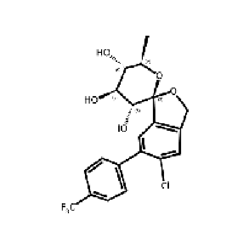 C[C@H]1O[C@]2(OCc3cc(Cl)c(-c4ccc(C(F)(F)F)cc4)cc32)[C@H](O)[C@@H](O)[C@@H]1O